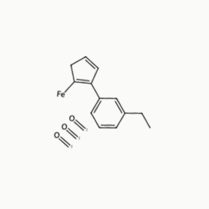 CCc1cccc(C2=[C]([Fe])CC=C2)c1.[C]=O.[C]=O.[C]=O